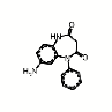 Nc1ccc2c(c1)N(c1ccccc1)C(=O)CC(=O)N2